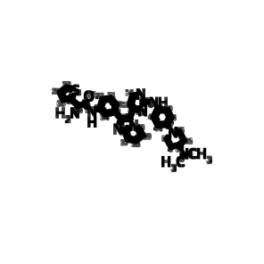 CN(C)C1CCN(c2ccc(Nc3nccc(-c4c(-c5cccc(NC(=O)C(N)c6cccs6)c5)nc5ccccn45)n3)cc2)CC1